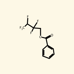 O=C(OCC(F)(F)C(F)C(F)(F)F)c1ccccc1